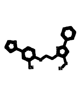 CCOc1cc(-c2ccccc2)nn1CCOc1ccc(-c2ccco2)cc1C#N